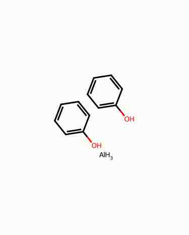 Oc1ccccc1.Oc1ccccc1.[AlH3]